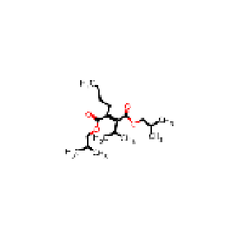 CCCCC(C(=O)OCC(C)C)=C(C(=O)OCC(C)C)C(C)C